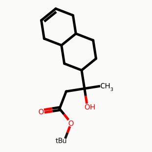 CC(C)(C)OC(=O)CC(C)(O)C1CCC2CC=CCC2C1